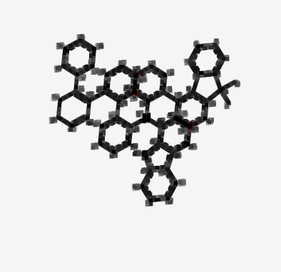 CC1(C)c2ccccc2-c2c(-c3ccccc3N(c3ccccc3-c3ccccc3C3=C(c4ccccc4)CCC=C3)c3cccc4c3sc3ccccc34)cccc21